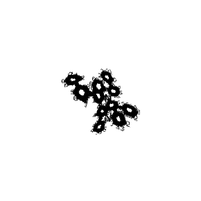 c1ccc(-c2cccc(-c3ccc(N(c4cccc(-c5ccccc5)c4)c4ccc(-c5ccccc5-n5c6ccccc6c6ccccc65)c(-c5ccccc5)c4)c4ccccc34)c2)cc1